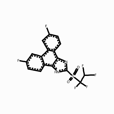 O=S(=O)(c1nc2c3ccc(F)cc3c3cc(F)ccc3c2[nH]1)C(F)(F)C(F)F